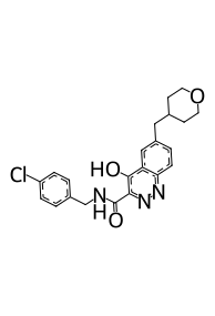 O=C(NCc1ccc(Cl)cc1)c1nnc2ccc(CC3CCOCC3)cc2c1O